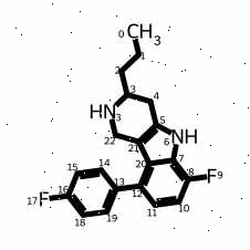 CCCC1Cc2[nH]c3c(F)ccc(-c4ccc(F)cc4)c3c2CN1